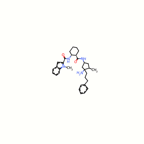 CC1CC(NC(=O)[C@@H]2CCCC[C@@H]2NC(=O)c2cc3ccccc3n2C)CC1(N)CCCc1ccccc1